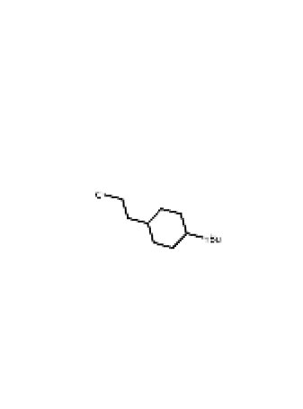 CCCCC1CCC(CCCl)CC1